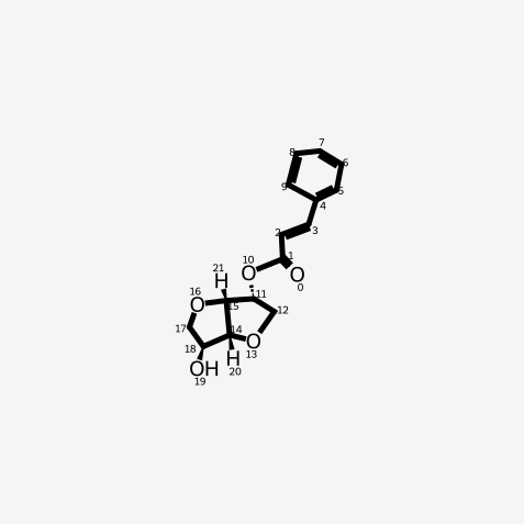 O=C(/C=C/c1ccccc1)O[C@@H]1CO[C@H]2[C@@H]1OC[C@@H]2O